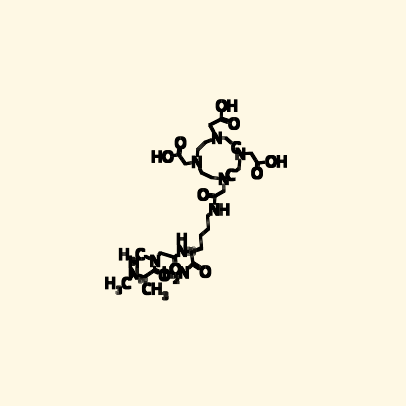 CN[C@@H](C)C(=O)N(C)CC(=O)N[C@@H](CCCCNC(=O)CN1CCN(CC(=O)O)CCN(CC(=O)O)CCN(CC(=O)O)CC1)C(N)=O